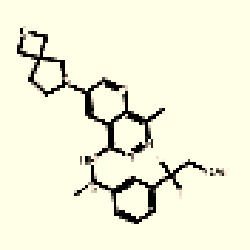 COCC(F)(F)c1cccc([C@@H](C)Nc2nnc(C)c3ncc(N4CCC5(COC5)C4)cc23)c1